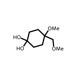 COCC1(OC)CCC(O)(O)CC1